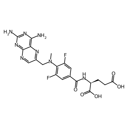 CN(Cc1cnc2nc(N)nc(N)c2n1)c1c(F)cc(C(=O)N[C@@H](CCC(=O)O)C(=O)O)cc1F